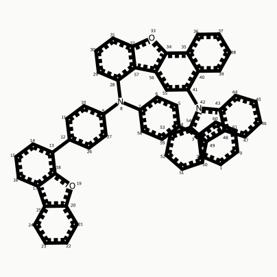 c1ccc(-c2ccc(N(c3ccc(-c4cccc5c4oc4ccccc45)cc3)c3cccc4oc5c6ccccc6c(-n6c7ccccc7c7ccccc76)cc5c34)cc2)cc1